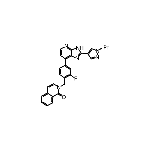 CC(C)n1cc(-c2nc3c(-c4ccc(Cn5ccc6ccccc6c5=O)c(F)c4)ccnc3[nH]2)cn1